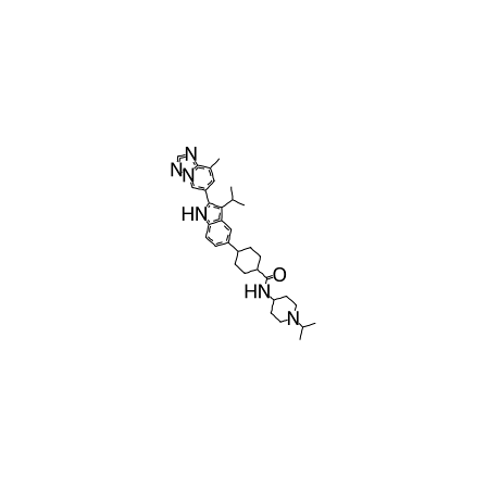 Cc1cc(-c2[nH]c3ccc(C4CCC(C(=O)NC5CCN(C(C)C)CC5)CC4)cc3c2C(C)C)cn2ncnc12